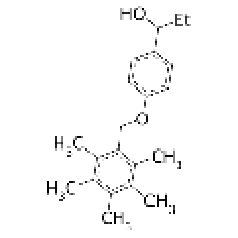 CCC(O)c1ccc(OCc2c(C)c(C)c(C)c(C)c2C)cc1